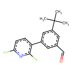 CC(C)(C)c1cc(C=O)cc(-c2ccc(F)nc2F)c1